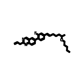 C=CCc1ncc2cc(-c3ccc(/C=C/CCCC(C)OCCCCC)cc3F)ccc2n1